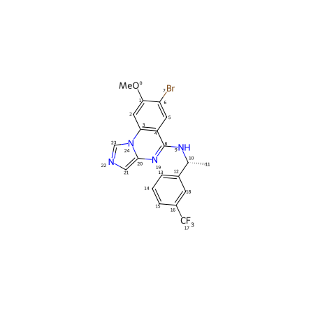 COc1cc2c(cc1Br)c(N[C@H](C)c1cccc(C(F)(F)F)c1)nc1cncn12